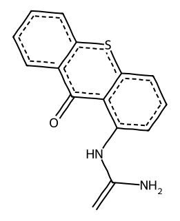 C=C(N)Nc1cccc2sc3ccccc3c(=O)c12